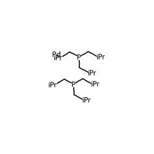 CC(C)CP(CC(C)C)CC(C)C.CC(C)CP(CC(C)C)CC(C)C.[Pd]